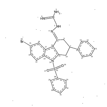 N=C(N)N/N=C1\CC(c2ccccc2)Cc2c1c1cc(Br)ccc1n2S(=O)(=O)c1ccccc1